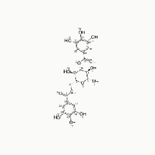 O=C(OC[C@H]1O[C@@H](O)[C@H](O)[C@@H](OC(=O)c2cc(O)c(O)c(O)c2)[C@@H]1O)c1cc(O)c(O)c(O)c1